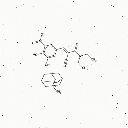 CCN(CC)C(=O)/C(C#N)=C/c1cc(O)c(O)c([N+](=O)[O-])c1.NC12CC3CC(CC(C3)C1)C2